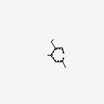 CC(=O)OCc1cnc(C)cc1C=O